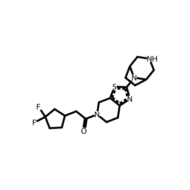 O=C(CC1CCC(F)(F)C1)N1CCc2nc(N3C4CCC3CNC4)sc2C1